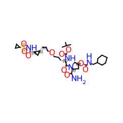 CC(C)(C)OC(=O)N[C@@H](CCCOC/C=C\[C@@H]1C[C@@H]1C(=O)NS(=O)(=O)C1CC1)C(=O)N1C[C@H](OC(=O)NCC2CCCCC2)C[C@H]1C(N)=O